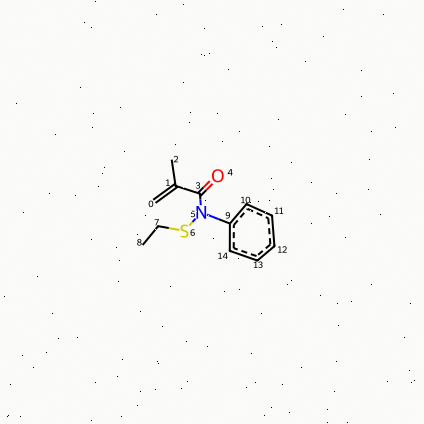 C=C(C)C(=O)N(SCC)c1ccccc1